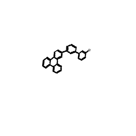 Brc1cccc(-c2cccc(-c3ccc4c5ccccc5c5ccccc5c4c3)c2)c1